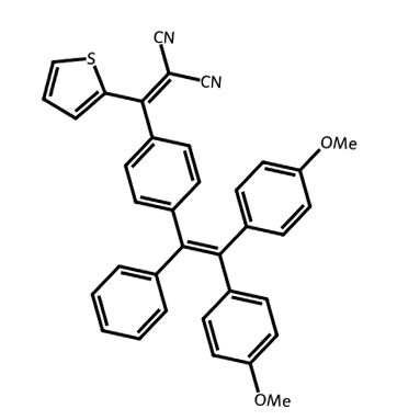 COc1ccc(C(=C(c2ccccc2)c2ccc(C(=C(C#N)C#N)c3cccs3)cc2)c2ccc(OC)cc2)cc1